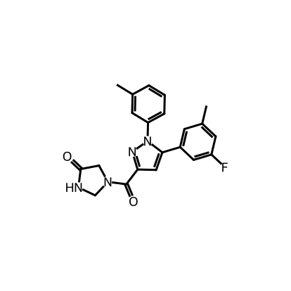 Cc1cc(F)cc(-c2cc(C(=O)N3CNC(=O)C3)nn2-c2cccc(C)c2)c1